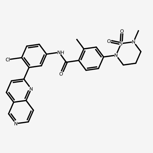 Cc1cc(N2CCCN(C)S2(=O)=O)ccc1C(=O)Nc1ccc(Cl)c(-c2ccc3cnccc3n2)c1